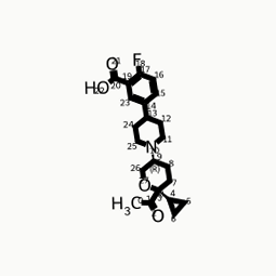 CC(=O)[C@@]1(C2CC2)CC[C@@H](N2CCC(c3ccc(F)c(C(=O)O)c3)CC2)CO1